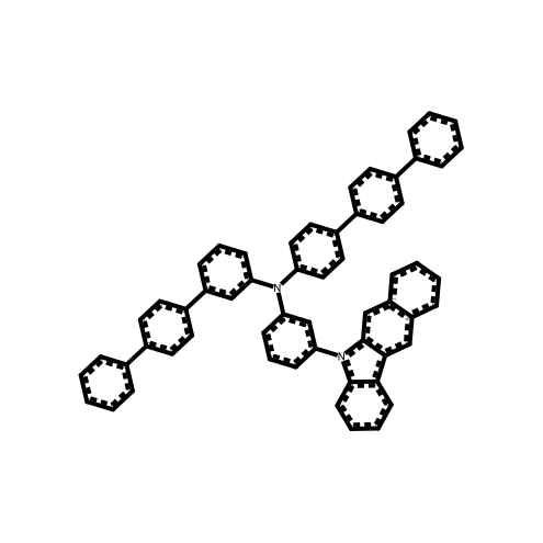 c1ccc(-c2ccc(-c3ccc(N(c4cccc(-c5ccc(-c6ccccc6)cc5)c4)c4cccc(-n5c6ccccc6c6cc7ccccc7cc65)c4)cc3)cc2)cc1